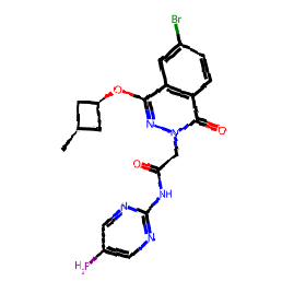 C[C@H]1C[C@@H](Oc2nn(CC(=O)Nc3ncc(P)cn3)c(=O)c3ccc(Br)cc23)C1